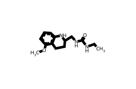 CCNC(=O)NCC1CCc2c(cccc2OC)N1